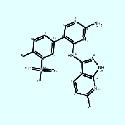 Cc1ccc2c(Nc3nc(N)ncc3-c3ccc(C)c(S(C)(=O)=O)c3)n[nH]c2n1